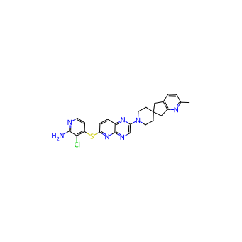 Cc1ccc2c(n1)CC1(CCN(c3cnc4nc(Sc5ccnc(N)c5Cl)ccc4n3)CC1)C2